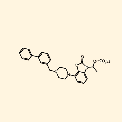 CCOC(=O)OC(C)n1c(=O)oc2c(N3CCN(Cc4cccc(-c5ccccc5)c4)CC3)cccc21